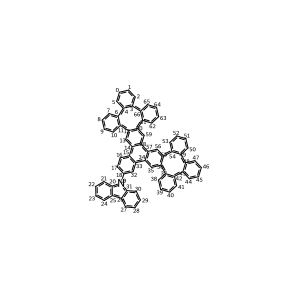 c1ccc2c(c1)c1ccccc1c1cc3c4ccc(-n5c6ccccc6c6ccccc65)cc4c4cc5c6ccccc6c6ccccc6c6ccccc6c5cc4c3cc1c1ccccc21